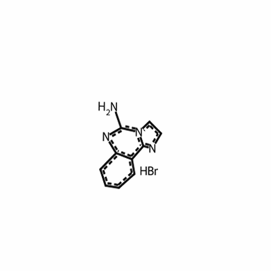 Br.Nc1nc2ccccc2c2nccn12